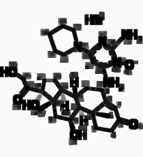 Br.C[C@]12CCC(=O)C=C1CC[C@@H]1[C@@H]2[C@@H](O)C[C@@]2(C)[C@H]1CC[C@]2(O)C(=O)CO.Nc1cc(N2CCCCC2)nc(N)[n+]1[O-]